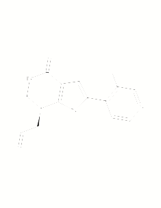 C=CC[C@H]1CNC(=O)c2cc(-c3ccncc3F)[nH]c21